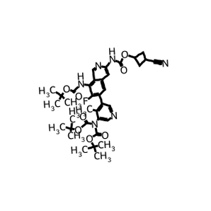 Cc1c(-c2cc3cc(NC(=O)OC4CC(C#N)C4)ncc3c(NC(=O)OC(C)(C)C)c2F)cncc1N(C(=O)OC(C)(C)C)C(=O)OC(C)(C)C